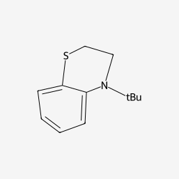 CC(C)(C)N1CCSc2ccccc21